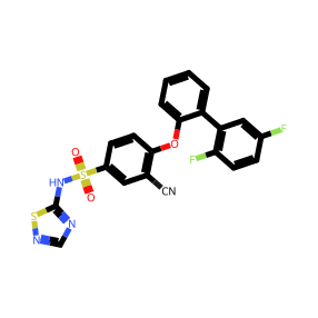 N#Cc1cc(S(=O)(=O)Nc2ncns2)ccc1Oc1ccccc1-c1cc(F)ccc1F